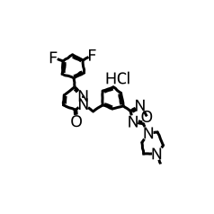 CN1CCN(c2nc(-c3cccc(Cn4nc(-c5cc(F)cc(F)c5)ccc4=O)c3)no2)CC1.Cl